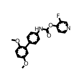 COc1ccc(OC)c(-c2ccc(NC(=O)Oc3ccncc3F)cc2)c1